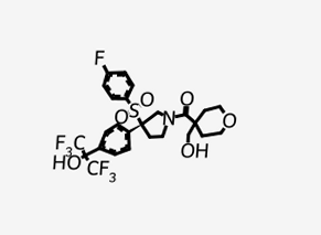 O=C(N1CC[C@](c2ccc(C(O)(C(F)(F)F)C(F)(F)F)cc2)(S(=O)(=O)c2ccc(F)cc2)C1)C1(CO)CCOCC1